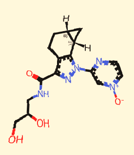 O=C(NCC(O)CO)c1nn(-c2c[n+]([O-])ccn2)c2c1CC[C@@H]1C[C@H]21